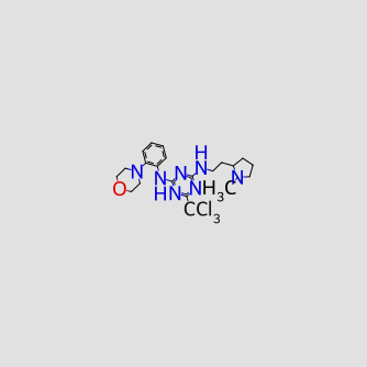 CN1CCCC1CCNc1nc(Nc2ccccc2N2CCOCC2)nc(C(Cl)(Cl)Cl)n1